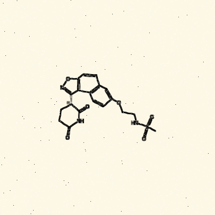 CS(=O)(=O)NCCOc1ccc2c(ccc3onc([C@H]4CCC(=O)NC4=O)c32)c1